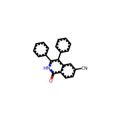 N#Cc1ccc2c(=O)[nH]c(-c3ccccc3)c(-c3ccccc3)c2c1